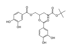 CC(C)(C)OC(=O)NCC(COC(=O)c1ccc(O)c(O)c1)OC(=O)c1ccc(O)c(O)c1